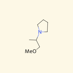 COCC(C)N1CCCC1